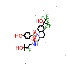 CC(C)(O)[C@H](F)CNC(=O)CC1CCc2cc(C(O)(C(F)(F)F)C(F)(F)F)ccc2N1S(=O)(=O)c1ccc(O)cc1